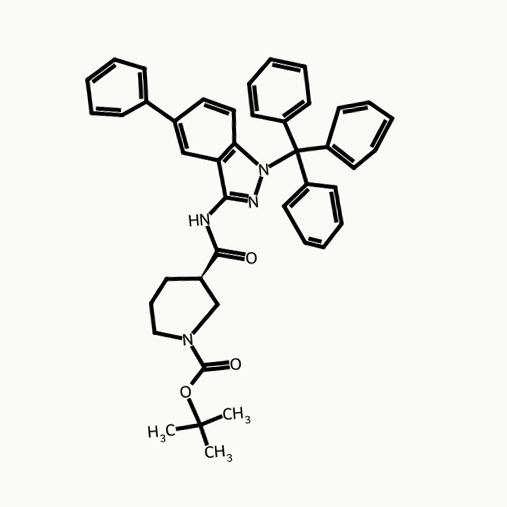 CC(C)(C)OC(=O)N1CCC[C@@H](C(=O)Nc2nn(C(c3ccccc3)(c3ccccc3)c3ccccc3)c3ccc(-c4ccccc4)cc23)C1